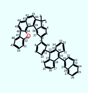 CC1(C)c2ccc(-c3cccc(-c4c5ccccc5c(-c5ccc6ccccc6c5)c5ccccc45)c3)cc2-c2c1ccc1ccc3c4ccccc4oc3c21